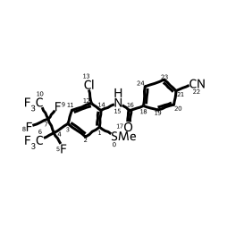 CSc1cc(C(F)(C(F)(F)F)C(F)(F)C(F)(F)F)cc(Cl)c1NC(=O)c1ccc(C#N)cc1